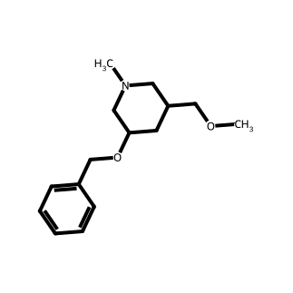 COCC1CC(OCc2ccccc2)CN(C)C1